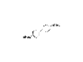 CCCCCC[C@H]1CC[C@H]([C@H]2CC[C@H](CCCCCC)CC2)CC1